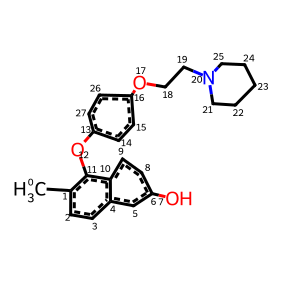 Cc1ccc2cc(O)ccc2c1Oc1ccc(OCCN2CCCCC2)cc1